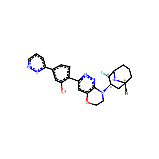 Oc1cc(-c2cccnn2)ccc1-c1cc2c(nn1)N([C@@H]1C[C@H]3CCCC(N3)[C@@H]1F)CCO2